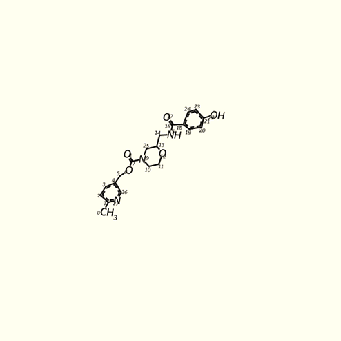 Cc1ccc(COC(=O)N2CCOC(CNC(=O)c3ccc(O)cc3)C2)cn1